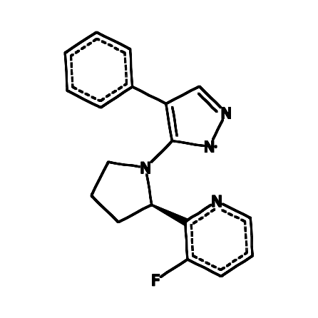 Fc1cccnc1[C@H]1CCCN1C1=C(c2ccccc2)C=N[N]1